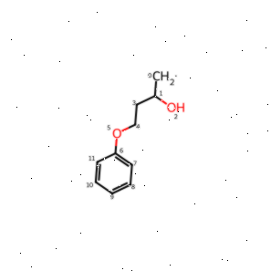 [CH2]C(O)CCOc1ccccc1